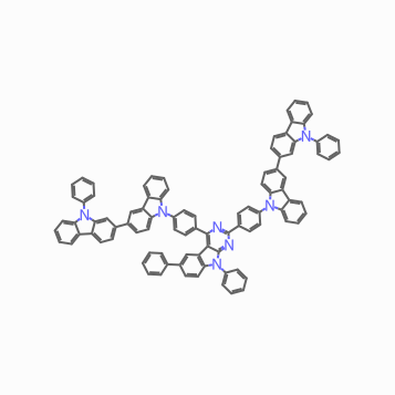 c1ccc(-c2ccc3c(c2)c2c(-c4ccc(-n5c6ccccc6c6cc(-c7ccc8c9ccccc9n(-c9ccccc9)c8c7)ccc65)cc4)nc(-c4ccc(-n5c6ccccc6c6cc(-c7ccc8c9ccccc9n(-c9ccccc9)c8c7)ccc65)cc4)nc2n3-c2ccccc2)cc1